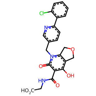 O=C(O)CNC(=O)c1c(O)c2c(n(Cc3ccc(-c4ccccc4Cl)nc3)c1=O)COC2